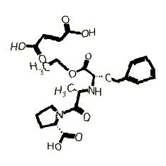 CCOC(=O)[C@H](CCc1ccccc1)N[C@@H](C)C(=O)N1CCC[C@H]1C(=O)O.O=C(O)/C=C/C(=O)O